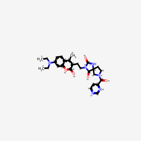 CCN(CC)c1ccc2c(C)c(CCN3C(=O)NC4(CCN(C(=O)c5ccncn5)C4)C3=O)c(=O)oc2c1